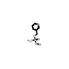 CCOP(C)(=O)OCc1cccnc1